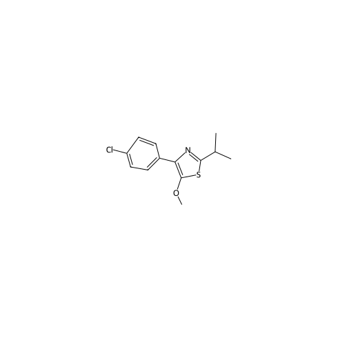 COc1sc(C(C)C)nc1-c1ccc(Cl)cc1